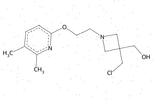 Cc1ccc(OCCN2CC(CO)(CCl)C2)nc1C